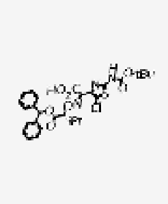 CC(C)[C@@H](O/N=C(\C(=O)O)c1nc(NC(=O)OC(C)(C)C)sc1Cl)C(=O)OC(c1ccccc1)c1ccccc1